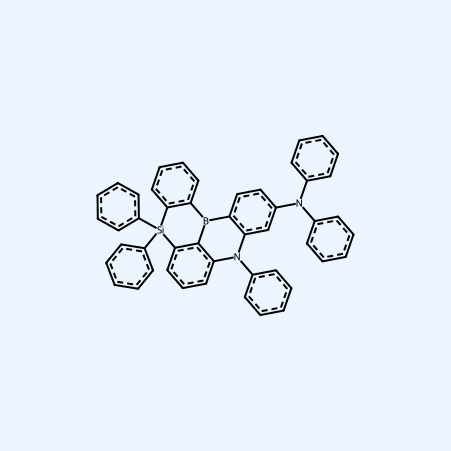 c1ccc(N(c2ccccc2)c2ccc3c(c2)N(c2ccccc2)c2cccc4c2B3c2ccccc2[Si]4(c2ccccc2)c2ccccc2)cc1